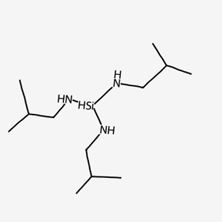 CC(C)CN[SiH](NCC(C)C)NCC(C)C